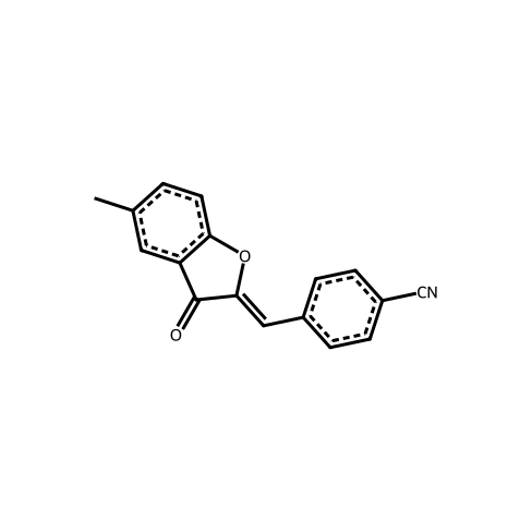 Cc1ccc2c(c1)C(=O)C(=Cc1ccc(C#N)cc1)O2